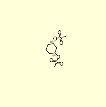 CS(=O)(=O)O[C@H]1CCC[C@H](OS(C)(=O)=O)C1